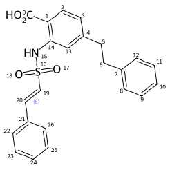 O=C(O)c1ccc(CCc2ccccc2)cc1NS(=O)(=O)/C=C/c1ccccc1